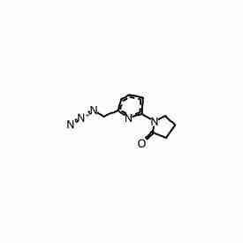 [N-]=[N+]=NCc1cccc(N2CCCC2=O)n1